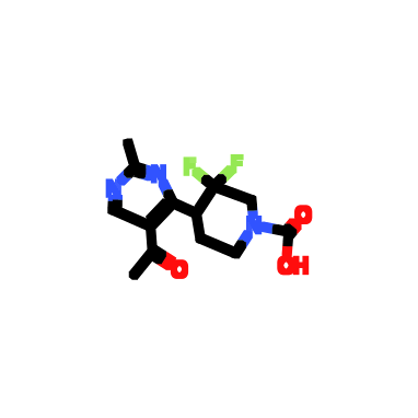 CC(=O)c1cnc(C)nc1C1CCN(C(=O)O)CC1(F)F